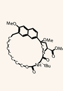 COC(=O)[C@@H]1C[C@]2(OC)CN1C(=O)[C@H](C(C)(C)C)NC(=O)OCCCCCCCCc1cc3cc2ccc3cc1OC